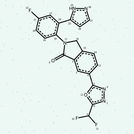 O=C1c2cc(-c3nnc(C(F)F)o3)ccc2CN1c1ccc(F)cc1-c1ccn[nH]1